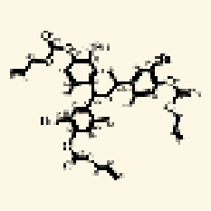 C=CCOC(=O)Oc1cc(C)c(C(C)CC(c2cc(C(C)(C)C)c(OC(=O)OCC=C)cc2C)c2cc(C(C)(C)C)c(OC(=O)OCC=C)cc2C)cc1C(C)(C)C